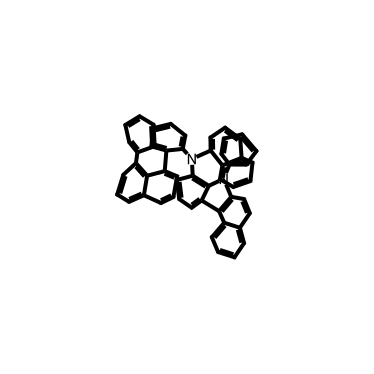 c1ccc(-c2cccc3cccc(-c4ccccc4N(c4cccc5ccccc45)c4cccc5c6c7ccccc7ccc6n(-c6ccccc6)c45)c23)cc1